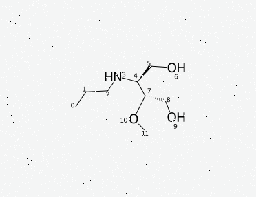 CCCN[C@@H](CO)[C@H](CO)OC